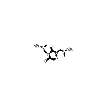 CCCCN(C)Cn1ncc(=O)n(CN(C)CCCC)c1=O